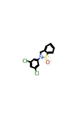 [O-][S+]1c2ccccc2CN1c1cc(Cl)cc(Cl)c1